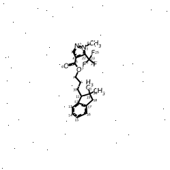 Cn1ncc(C(=O)OCCCC2c3ccccc3CC2(C)C)c1C(F)(F)F